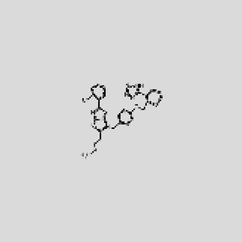 CCCCc1nc2nc(-c3ccccc3Cl)sc2n1Cc1ccc(OCc2ccccc2-c2nnn[nH]2)cc1